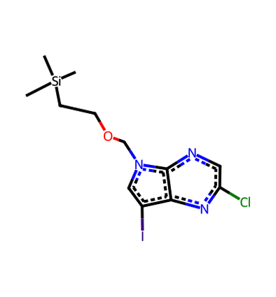 C[Si](C)(C)CCOCn1cc(I)c2nc(Cl)cnc21